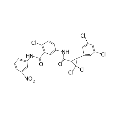 O=C(Nc1cccc([N+](=O)[O-])c1)c1cc(NC(=O)C2C(c3cc(Cl)cc(Cl)c3)C2(Cl)Cl)ccc1Cl